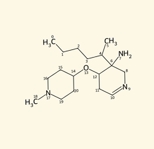 CCCCC(C)C1(N)CN=CCC1OC1CCN(C)CC1